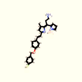 Bn1cccc1/C(CCN)=C1N=C(/C=C/c2ccc(OCc3ccc(F)cc3)cc2)C=C\1C